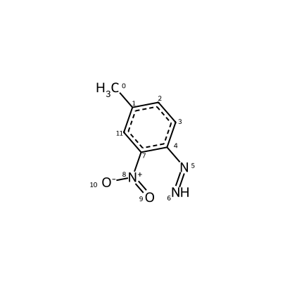 Cc1ccc(N=N)c([N+](=O)[O-])c1